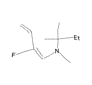 C=C/C(F)=C\N(C)C(C)(C)CC